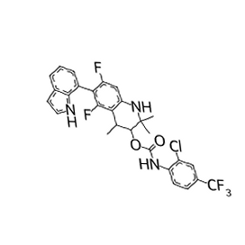 CC1c2c(cc(F)c(-c3cccc4cc[nH]c34)c2F)NC(C)(C)C1OC(=O)Nc1ccc(C(F)(F)F)cc1Cl